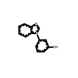 Oc1cccc(-n2cnc3ccccc32)c1